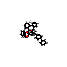 c1ccc(C2N=C(c3ccc4c(c3)oc3ccccc34)N=C(c3cccc4oc5cccc(-c6cccc7oc8ccccc8c67)c5c34)N2)cc1